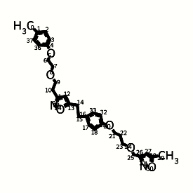 Cc1ccc(OCCOCCc2cc(CCc3ccc(OCCCOCc4cc(C)on4)cc3)on2)cc1